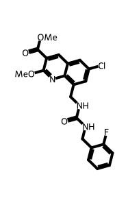 COC(=O)c1cc2cc(Cl)cc(CNC(=O)NCc3ccccc3F)c2nc1OC